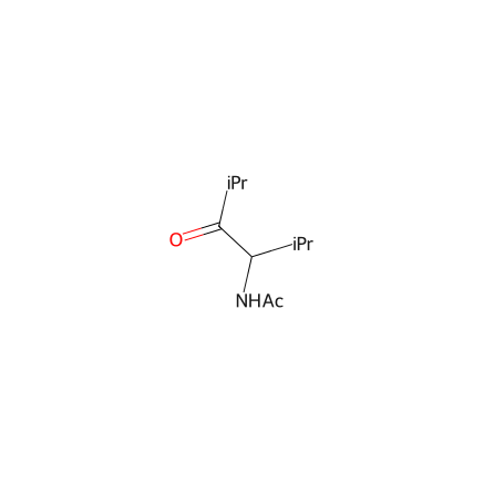 CC(=O)NC(C(=O)C(C)C)C(C)C